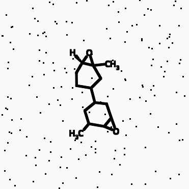 CC1CC(C2CC[C@@H]3OC3(C)C2)CC2OC12